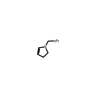 [CH2]CCCN1C=CCC1